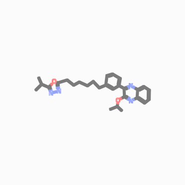 CC(C)Oc1nc2ccccc2nc1-c1cccc(CCCCCCc2nnc(C(C)C)o2)c1